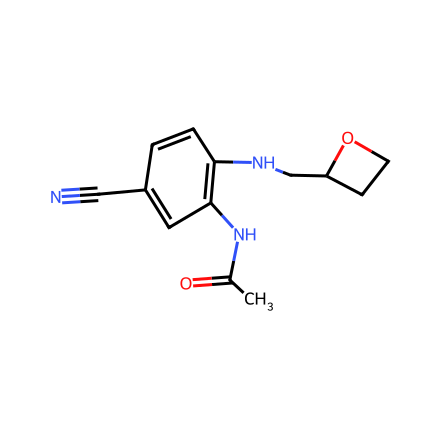 CC(=O)Nc1cc(C#N)ccc1NCC1CCO1